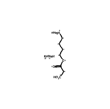 CCCCCCCCCCCOC(=O)CC(=O)O.[KH].[NaH]